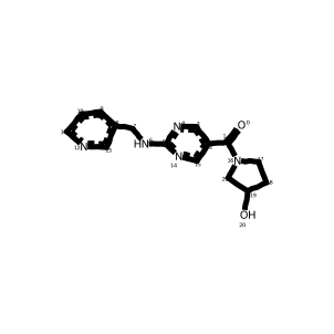 O=C(c1cnc(NCc2cccnc2)nc1)N1CCC(O)C1